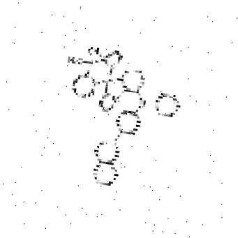 CC1(C)c2ccccc2C2(c3ccccc3-c3c(N(c4ccccc4)c4ccc(-c5ccc6ccccc6c5)cc4)cccc32)c2ccccc21